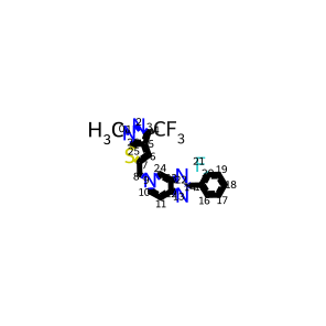 Cn1nc(C(F)(F)F)c2cc(Cn3ccc4nc(-c5ccccc5F)nc-4c3)sc21